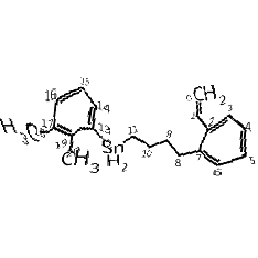 C=Cc1ccccc1CCC[CH2][SnH2][c]1cccc(C)c1C